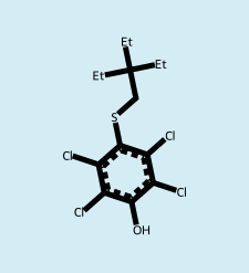 CCC(CC)(CC)CSc1c(Cl)c(Cl)c(O)c(Cl)c1Cl